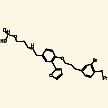 CC(C)Cc1ccc(CCCOc2ccc(CNCCCO[PH](=O)O)cc2-c2ccco2)cc1Br